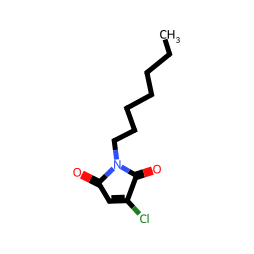 CCCCCCCN1C(=O)C=C(Cl)C1=O